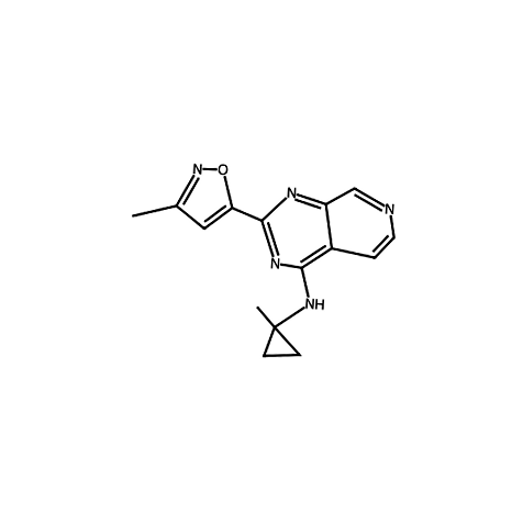 Cc1cc(-c2nc(NC3(C)CC3)c3ccncc3n2)on1